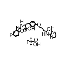 O=C(CCCOc1ccc(C[C@H](Nc2nc3cc(F)ccc3o2)C(=O)O)cc1)NC1=NCCCN1.O=C(O)C(F)(F)F